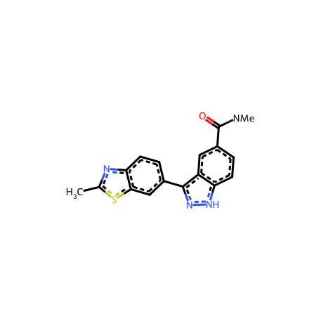 CNC(=O)c1ccc2[nH]nc(-c3ccc4nc(C)sc4c3)c2c1